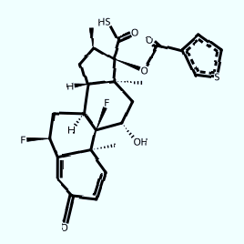 C[C@@H]1C[C@H]2[C@@H]3C[C@H](F)C4=CC(=O)C=C[C@]4(C)[C@@]3(F)[C@@H](O)C[C@]2(C)[C@@]1(OC(=O)c1ccsc1)C(=O)S